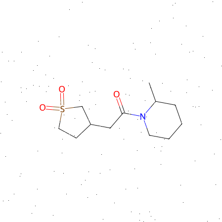 CC1CCCCN1C(=O)CC1CCS(=O)(=O)C1